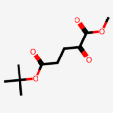 COC(=O)C(=O)CCC(=O)OC(C)(C)C